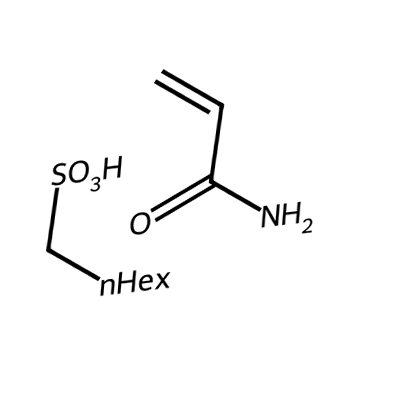 C=CC(N)=O.CCCCCCCS(=O)(=O)O